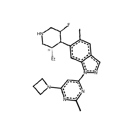 CC[C@@H]1CNCC(F)C1c1cc2c(cnn2-c2cc(N3CCC3)nc(C)n2)cc1C